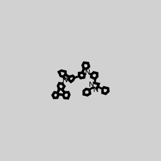 c1ccc(-c2cc(-c3cccc(-n4c5ccccc5c5cc(-c6ccc7c(c6)c6ccccc6n7-c6ccc7c8ccccc8c8ccccc8c7c6)ccc54)c3)nc(-c3ccccc3)n2)cc1